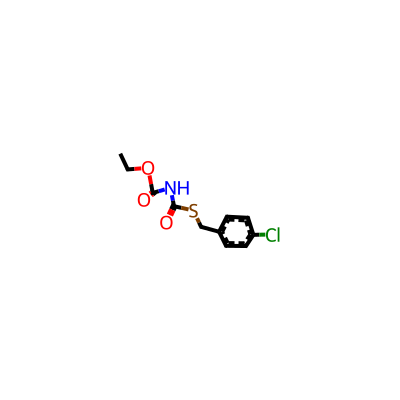 CCOC(=O)NC(=O)SCc1ccc(Cl)cc1